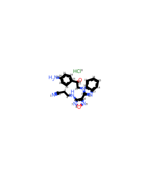 Cl.N#CCCNc1nonc1-c1nc2ccccc2n1CC(=O)c1ccc(N)cc1